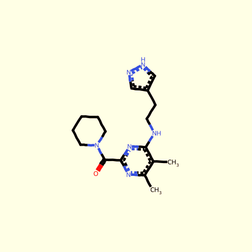 Cc1nc(C(=O)N2CCCCC2)nc(NCCc2cn[nH]c2)c1C